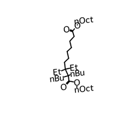 CCCCCCCCOC(=O)CCCCCCC(CC)(CC)C(CCCC)(CCCC)C(=O)OCCCCCCCC